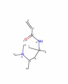 C=CC(=O)NC(C)(C)CC(C)N(C)C